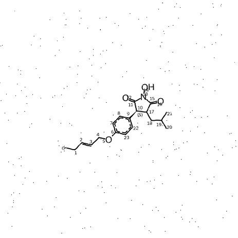 CCC=CCOc1ccc([C@H]2C(=O)N(O)C(=O)C2CC(C)C)cc1